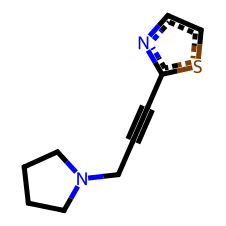 C(#Cc1nccs1)CN1CCCC1